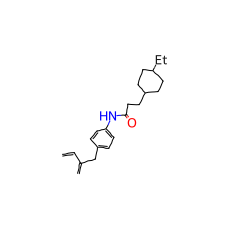 C=CC(=C)Cc1ccc(NC(=O)CCC2CCC(CC)CC2)cc1